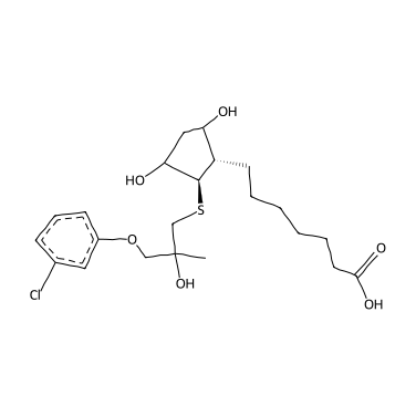 CC(O)(COc1cccc(Cl)c1)CS[C@H]1C(O)CC(O)[C@@H]1CCCCCCC(=O)O